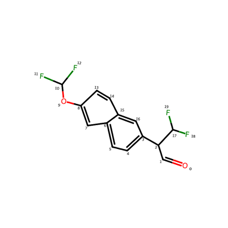 O=CC(c1ccc2cc(OC(F)F)ccc2c1)C(F)F